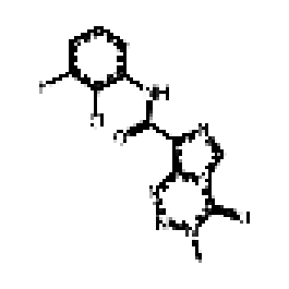 Cn1nnc2c(C(=O)Nc3cccc(F)c3Cl)ncn2c1=O